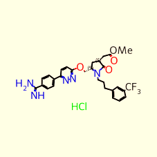 COC(=O)C[C@@H]1C[C@@H](COc2ccc(-c3ccc(C(=N)N)cc3)nn2)N(CCCc2cccc(C(F)(F)F)c2)C1=O.Cl